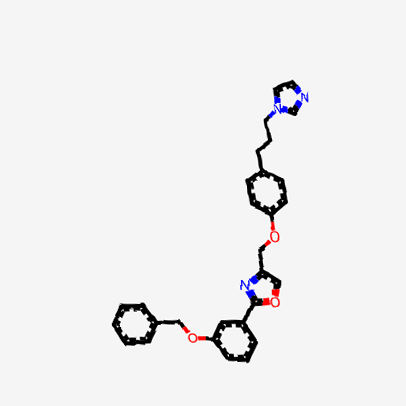 c1ccc(COc2cccc(-c3nc(COc4ccc(CCCn5ccnc5)cc4)co3)c2)cc1